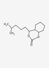 CC(C)CCC[C]1OC(=O)OC2CCCCC12